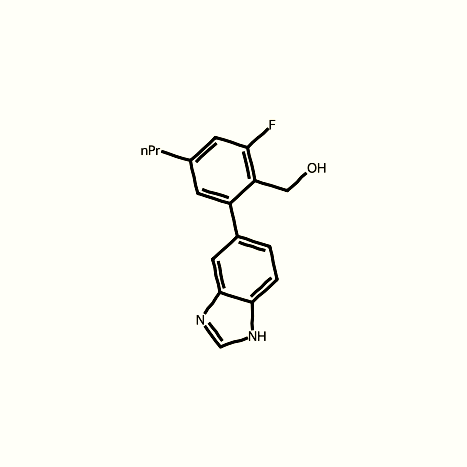 CCCc1cc(F)c(CO)c(-c2ccc3[nH]cnc3c2)c1